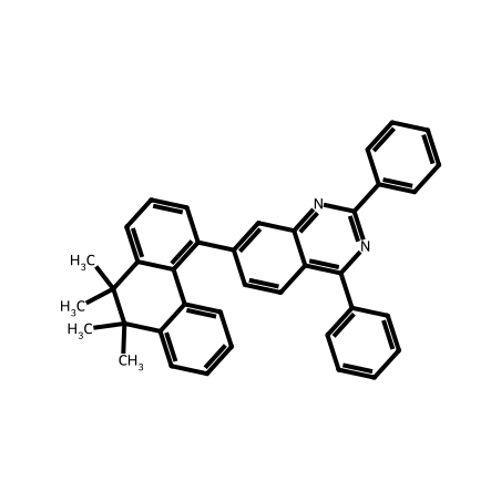 CC1(C)c2ccccc2-c2c(-c3ccc4c(-c5ccccc5)nc(-c5ccccc5)nc4c3)cccc2C1(C)C